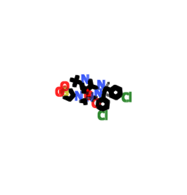 CCOc1cc(C(C)(C)C)ncc1C1=N[C@@](C)(c2ccc(Cl)cc2)[C@@](C)(c2ccc(Cl)cc2)N1C(=O)N1CCN([C@H]2CCS(=O)(=O)C2)CC1